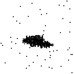 CCON=c1[nH]cnc2c1ccn2[C@@H]1O[C@H]([C@H](O)c2ccc3c(c2)CC3)[C@@H](O)[C@H]1O